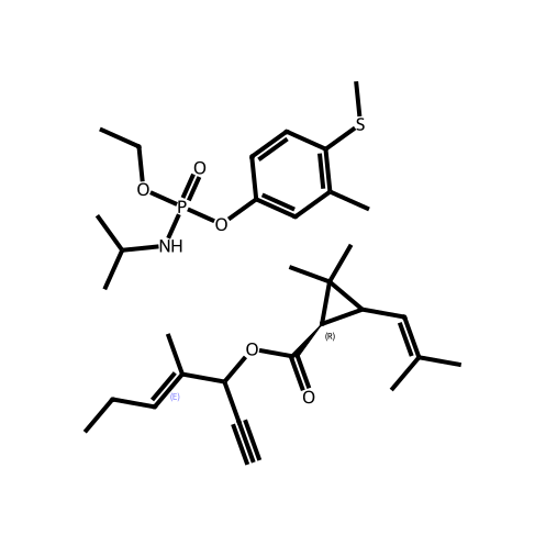 C#CC(OC(=O)[C@@H]1C(C=C(C)C)C1(C)C)/C(C)=C/CC.CCOP(=O)(NC(C)C)Oc1ccc(SC)c(C)c1